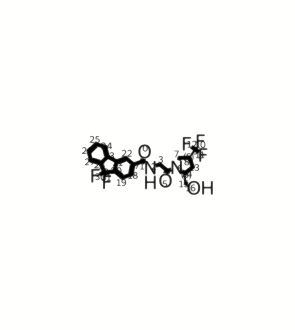 O=C(NCC(=O)N1C[C@@H](C(F)(F)F)C[C@H]1CO)c1ccc2c(c1)-c1ccccc1C2(F)F